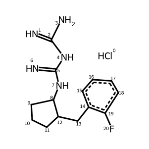 Cl.N=C(N)NC(=N)NC1CCCC1Cc1ccccc1F